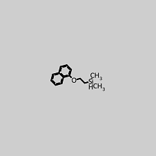 C[SiH](C)CCOc1cccc2ccccc12